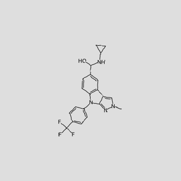 Cn1cc2c3cc(C(O)NC4CC4)ccc3n(-c3ccc(C(F)(F)F)cc3)c2n1